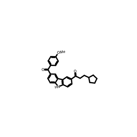 COc1ccc(C(=O)c2ccc3[nH]c4ccc(C(=O)CCC5CCCC5)cc4c3c2)cc1